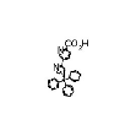 O=C(O)c1ccc(-c2cn(C(c3ccccc3)(c3ccccc3)c3ccccc3)cn2)cn1